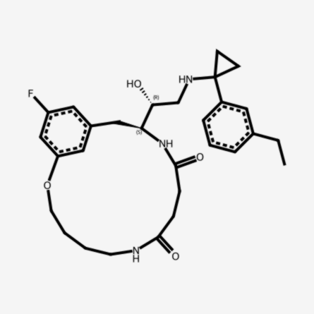 CCc1cccc(C2(NC[C@@H](O)[C@@H]3Cc4cc(F)cc(c4)OCCCCNC(=O)CCC(=O)N3)CC2)c1